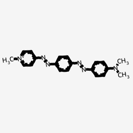 CN(C)c1ccc(N=Nc2ccc(N=Nc3cc[n+](C)cc3)cc2)cc1